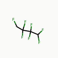 F[CH]C(F)(F)C(F)(F)[C](F)F